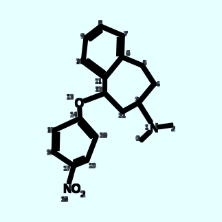 CN(C)C1CCc2ccccc2C(Oc2ccc([N+](=O)[O-])cc2)C1